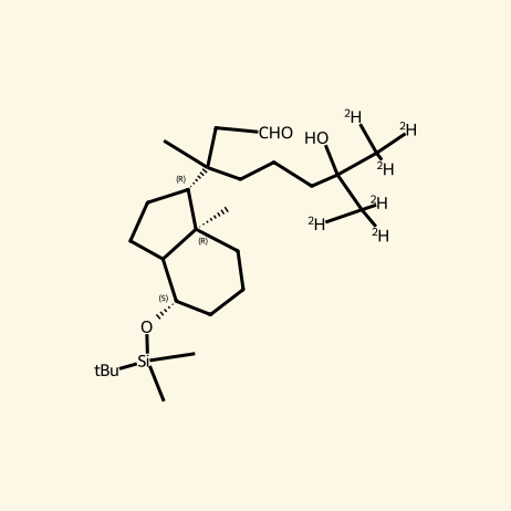 [2H]C([2H])([2H])C(O)(CCCC(C)(CC=O)[C@H]1CCC2[C@@H](O[Si](C)(C)C(C)(C)C)CCC[C@@]21C)C([2H])([2H])[2H]